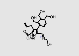 C=CCc1c(C(=O)OC)[nH]c(/C=N/CO)c1-c1ccc(CO)c(CO)c1CO